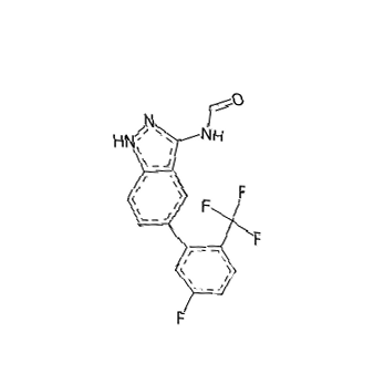 O=CNc1n[nH]c2ccc(-c3cc(F)ccc3C(F)(F)F)cc12